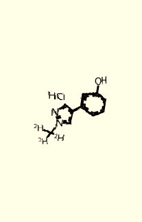 Cl.[2H]C([2H])([2H])n1cc(-c2cccc(O)c2)cn1